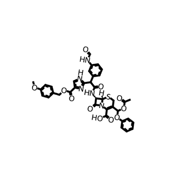 COc1ccc(COC(=O)c2c[nH]c(C(C(=O)N[C@@H]3C(=O)N4C(C(=O)O)=C(C(OC(C)=O)Oc5ccccc5)CS[C@@H]34)c3cccc(NC=O)c3)n2)cc1